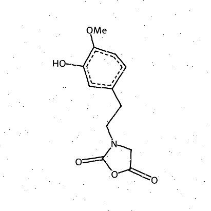 COc1ccc(CCN2CC(=O)OC2=O)cc1O